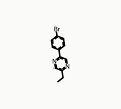 CCc1[c]nc(-c2ccc(Br)cc2)cn1